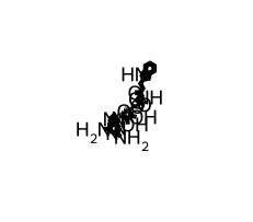 Nc1nc(N)c2ncn([C@@H]3O[C@H](COS(=O)(=O)NC(=O)CCc4cc5ccccc5[nH]4)C(O)C3O)c2n1